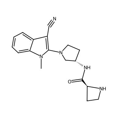 Cn1c(N2CC[C@H](NC(=O)[C@@H]3CCN3)C2)c(C#N)c2ccccc21